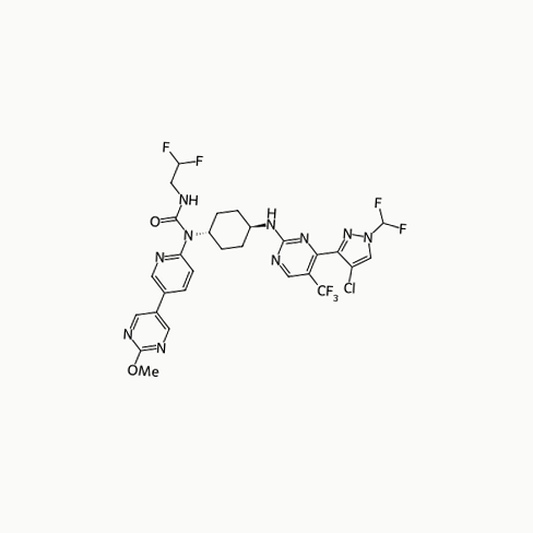 COc1ncc(-c2ccc(N(C(=O)NCC(F)F)[C@H]3CC[C@H](Nc4ncc(C(F)(F)F)c(-c5nn(C(F)F)cc5Cl)n4)CC3)nc2)cn1